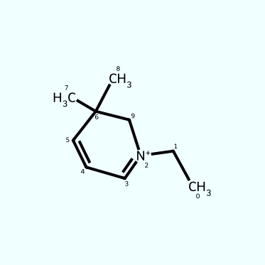 CC[N+]1=CC=CC(C)(C)C1